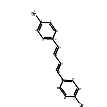 Brc1ccc(/C=C/C=C/c2ccc(Br)cc2)cc1